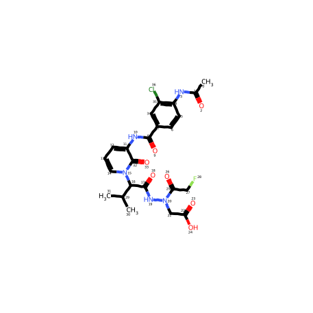 CC(=O)Nc1ccc(C(=O)Nc2cccn(C(C(=O)NN(CC(=O)O)C(=O)CF)C(C)C)c2=O)cc1Cl